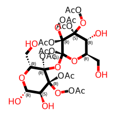 CC(=O)OO[C@]1(OC(C)=O)[C@@H](O)[C@H](O)O[C@H](CO)[C@@]1(OC(C)=O)O[C@@]1(OC(C)=O)O[C@H](CO)[C@@H](O)[C@@](OOC(C)=O)(OC(C)=O)[C@]1(OOC(C)=O)OC(C)=O